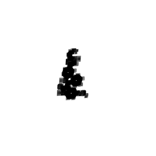 CC(C)Cc1nc(-c2ccc(N/C(=C3\C(=O)Nc4ccc([N+](=O)[O-])cc43)c3ccccc3)cc2)c[nH]1